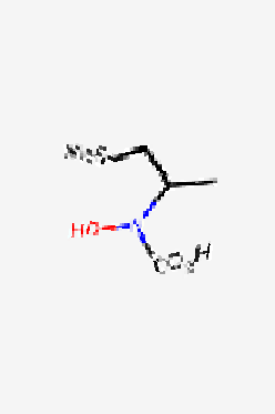 CSCC(C)N(O)C(=O)O